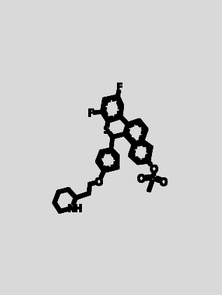 CS(=O)(=O)Oc1ccc2c3c(ccc2c1)-c1cc(F)cc(F)c1SC3c1ccc(OCCC2CCCCN2)cc1